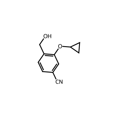 N#Cc1ccc(CO)c(OC2CC2)c1